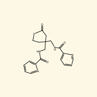 O=C1CC(CNC(=O)c2ccccn2)(CNC(=O)c2ccccn2)CCO1